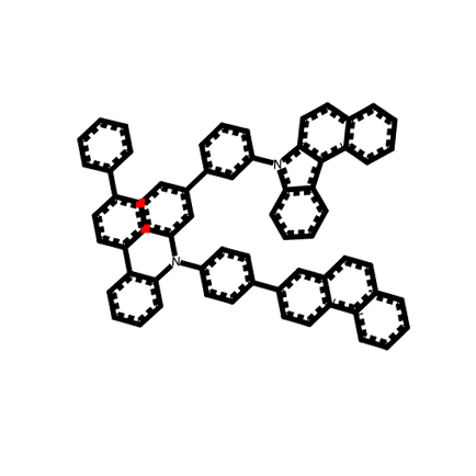 c1ccc(-c2ccc(-c3ccccc3N(c3ccc(-c4ccc5c(ccc6ccccc65)c4)cc3)c3cccc(-c4cccc(-n5c6ccccc6c6c7ccccc7ccc65)c4)c3)cc2)cc1